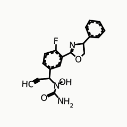 C#CC(c1ccc(F)c(C2=NC(c3ccccc3)CO2)c1)N(O)C(N)=O